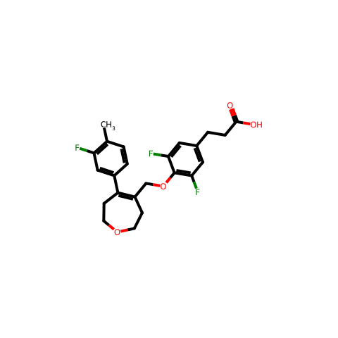 Cc1ccc(C2=C(COc3c(F)cc(CCC(=O)O)cc3F)CCOCC2)cc1F